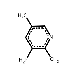 Cc1cnc(C)c(P)c1